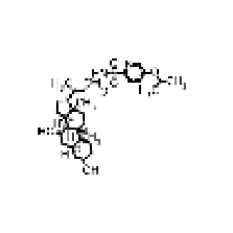 CC(C)Oc1ccc(S(=O)(=O)NC(=O)OC[C@@H](C)[C@H]2CC[C@H]3[C@@H]4[C@H](O)C[C@@H]5C[C@H](O)CC[C@]5(C)[C@H]4CC[C@]23C)nc1